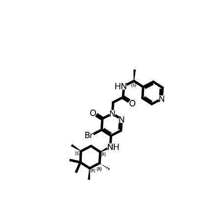 C[C@@H]1[C@@H](C)C(C)(C)[C@@H](C)C[C@H]1Nc1cnn(CC(=O)N[C@@H](C)c2ccncc2)c(=O)c1Br